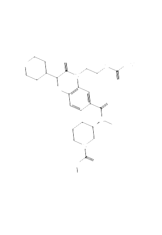 COC(=O)NCCN1C(=O)C(C2CCOCC2)Oc2ccc(C(=O)N(C(C)C)[C@@H]3CCCN(C(=O)OC(C)(C)C)C3)cc21